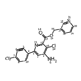 Nc1cc(-c2ccc(Cl)cc2)nc(C(=O)OCc2cccnc2)c1Cl